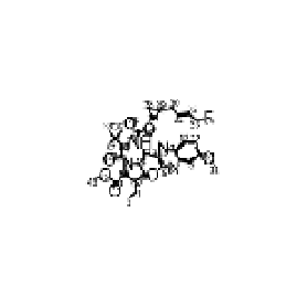 CC[C@@H]1[C@@H](Oc2nc3cc(OC)ccc3nc2F)CN(C(=O)[C@@H](NC(=O)O[C@@H]2C[C@H]2CC=CCF)C(C)(C)C)[C@@H]1C(=O)OC